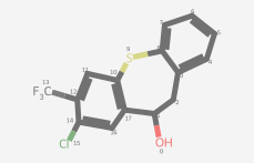 OC1Cc2ccccc2Sc2cc(C(F)(F)F)c(Cl)cc21